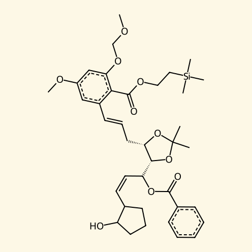 COCOc1cc(OC)cc(/C=C/C[C@@H]2OC(C)(C)O[C@@H]2C(/C=C\C2CCCC2O)OC(=O)c2ccccc2)c1C(=O)OCC[Si](C)(C)C